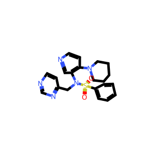 O=S(=O)(c1ccccc1)N(Cc1ccncn1)c1cnccc1N1CCCCC1